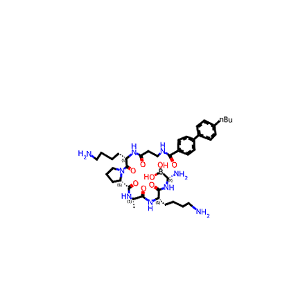 CCCCc1ccc(-c2ccc(C(=O)NCCC(=O)N[C@@H](CCCCN)C(=O)N3CCC[C@H]3C(=O)N[C@@H](C)C(=O)N[C@@H](CCCCN)C(=O)N[C@@H](N)B(O)O)cc2)cc1